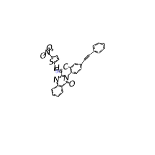 Cc1cc(C#Cc2ccccc2)ccc1-n1c(/C=C/c2ccc([N+](=O)[O-])s2)nc2ccccc2c1=O